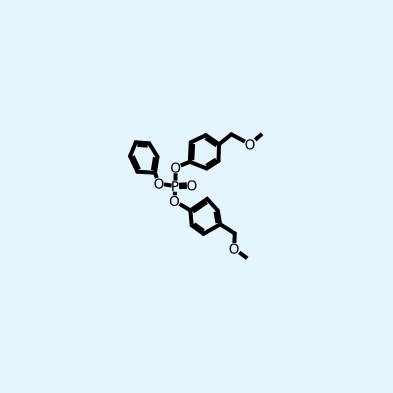 COCc1ccc(OP(=O)(Oc2ccccc2)Oc2ccc(COC)cc2)cc1